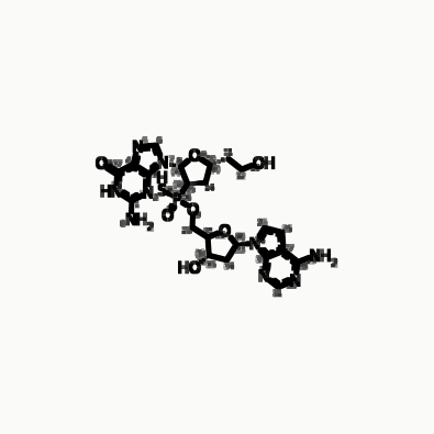 Nc1nc2c(ncn2[C@@H]2O[C@H](CCO)C[C@H]2[P@](=O)(S)OCC2O[C@@H](n3ccc4c(N)ncnc43)C[C@@H]2O)c(=O)[nH]1